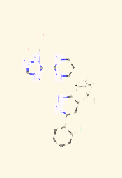 CC1(C)[C@H]2CC[C@@]1(c1ccnc(-c3ncnn3CS(C)(=O)=O)n1)c1nnc(-c3c(F)cccc3F)cc12